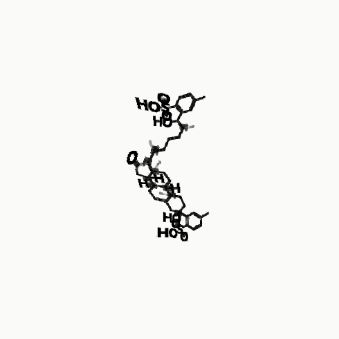 Cc1ccc(S(=O)(=O)O)c(C(O)[C@H](C)CCC[C@@H](C)[C@H]2C(=O)C[C@H]3[C@@H]4CC=C5C[C@@](O)(c6cc(C)ccc6S(=O)(=O)O)CC[C@]5(C)[C@H]4CC[C@]23C)c1